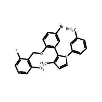 CCOC(=O)c1cccc(-n2ccc(C)c2-c2cc(Br)ccc2OCc2c(F)cccc2C(F)(F)F)c1